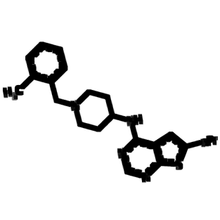 CCCc1cc2c(NC3CCN(Cc4ccccc4C)CC3)ncnc2s1